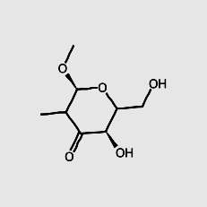 CO[C@H]1OC(CO)[C@@H](O)C(=O)C1C